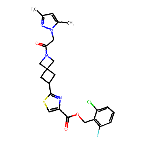 Cc1cc(C(F)(F)F)nn1CC(=O)N1CC2(CC(c3nc(C(=O)OCc4c(F)cccc4Cl)cs3)C2)C1